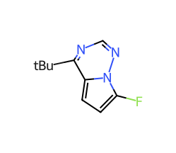 CC(C)(C)c1ncnn2c(F)ccc12